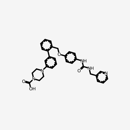 O=C(NCc1cccnc1)Nc1ccc(OCc2ccccc2-c2cccc(N3CCN(C(=O)O)CC3)c2)cc1